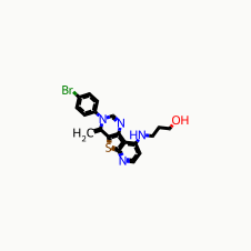 C=C1c2sc3nccc(NCCCO)c3c2N=CN1c1ccc(Br)cc1